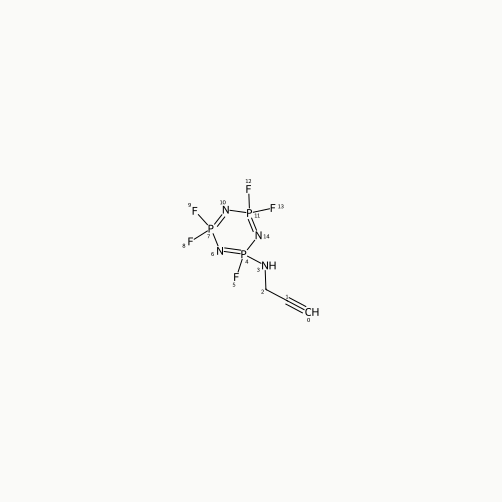 C#CCNP1(F)=NP(F)(F)=NP(F)(F)=N1